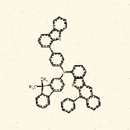 CC1(C)c2ccccc2-c2ccc(N(c3ccc(-c4cccc5c4sc4ccccc45)cc3)c3cccc4c3oc3c(-c5ccccc5)c5ccccc5cc34)cc21